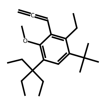 C=C=Cc1c(CC)c(C(C)(C)C)cc(C(CC)(CC)CC)c1OC